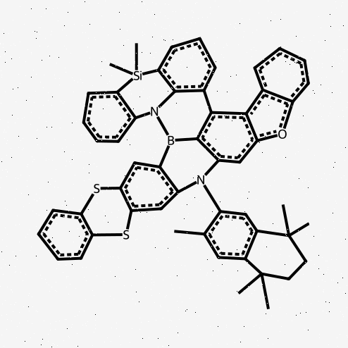 Cc1cc2c(cc1N1c3cc4c(cc3B3c5c1cc1oc6ccccc6c1c5-c1cccc5c1N3c1ccccc1[Si]5(C)C)Sc1ccccc1S4)C(C)(C)CCC2(C)C